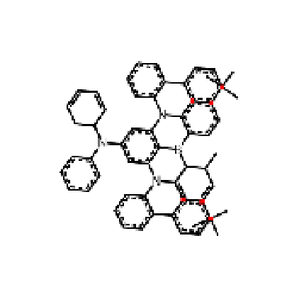 CC1C=C(C(C)(C)C)C=C2C1B1c3ccc(C(C)(C)C)cc3N(c3ccccc3-c3ccccc3)c3cc(N(c4ccccc4)C4C=CC=CC4)cc(c31)N2c1ccccc1-c1ccccc1